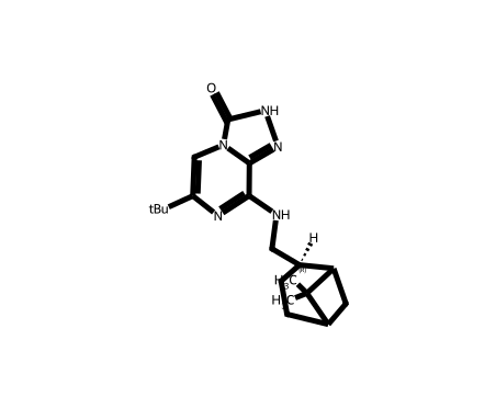 CC(C)(C)c1cn2c(=O)[nH]nc2c(NC[C@@H]2CCC3CC2C3(C)C)n1